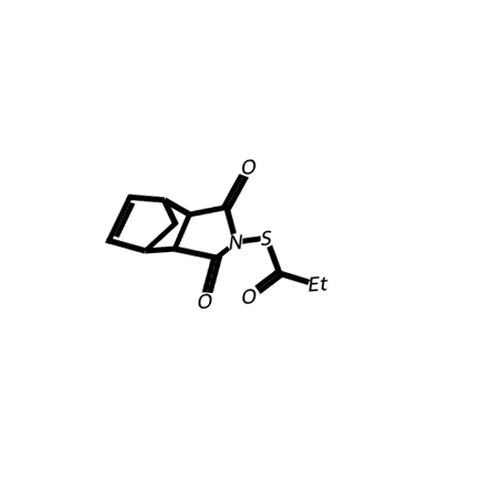 CCC(=O)SN1C(=O)C2C3C=CC(C3)C2C1=O